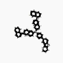 C1=Nc2c(oc3ccc(-c4ccc(N(c5ccc6cc(-c7cccc8ccccc78)ccc6c5)c5ccc6cc(-c7cccc8ccccc78)ccc6c5)cc4)cc23)CC1